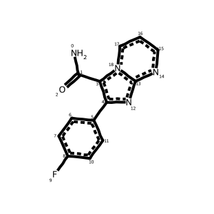 NC(=O)c1c(-c2ccc(F)cc2)nc2n[c]ccn12